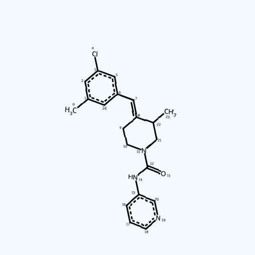 Cc1cc(Cl)cc(C=C2CCN(C(=O)Nc3cccnc3)CC2C)c1